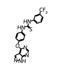 FC(F)(F)c1cccc(NC(=S)Nc2ccc(Oc3ncnc4[nH]ncc34)cc2)c1